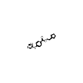 O=C(OCCC1CCCC1)c1ccc(Sn2cncn2)cc1